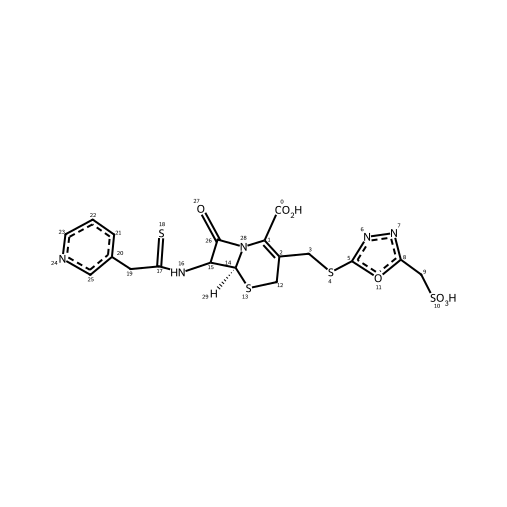 O=C(O)C1=C(CSc2nnc(CS(=O)(=O)O)o2)CS[C@H]2C(NC(=S)Cc3cccnc3)C(=O)N12